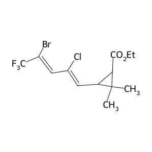 CCOC(=O)C1C(C=C(Cl)C=C(Br)C(F)(F)F)C1(C)C